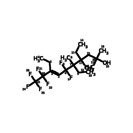 CC/C(=C\C(F)(F)C(C)(CC)C(C)(CC)CC(C)(C)O)C(F)(F)C(F)(F)F